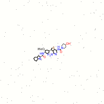 COc1cc(-c2csc3c(NC(=O)N4CCC(O)CC4)cnc(N)c23)ccc1NC(=O)c1cc2ccccc2n1C